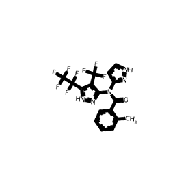 Cc1ccccc1C(=O)N(c1cc[nH]n1)c1n[nH]c(C(F)(F)C(F)(F)F)c1C(F)(F)F